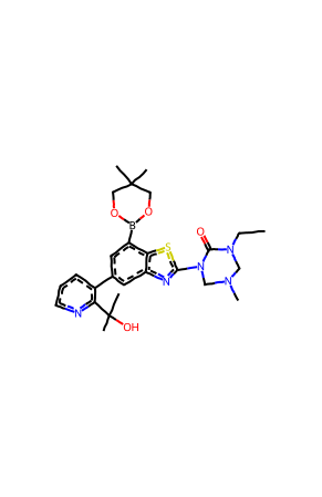 CCN1CN(C)CN(c2nc3cc(-c4cccnc4C(C)(C)O)cc(B4OCC(C)(C)CO4)c3s2)C1=O